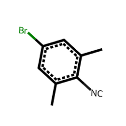 [C-]#[N+]c1c(C)cc(Br)cc1C